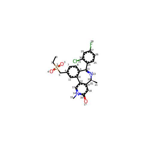 CCS(=O)(=O)Cc1ccc2c(c1)-c1cn(C)c(=O)cc1[C@H](C)N=C2c1ccc(F)cc1Cl